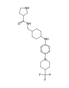 O=C(NCC1CCC(Nc2ccc(N3CCC(C(F)(F)F)CC3)cc2)CC1)C1CCNC1